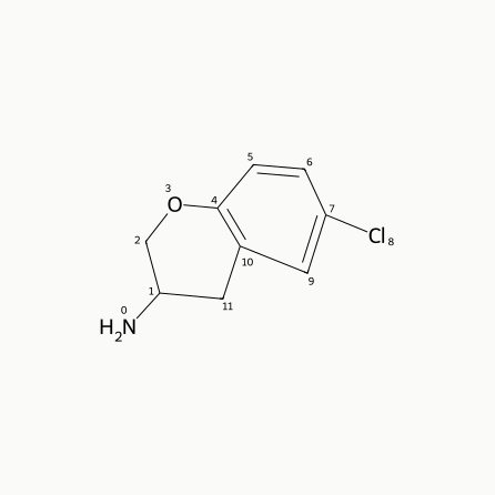 NC1COc2ccc(Cl)cc2C1